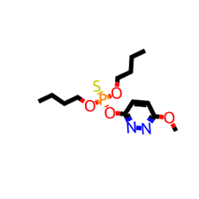 CCCCOP(=S)(OCCCC)Oc1ccc(OC)nn1